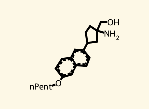 CCCCCOc1ccc2cc(C3CCC(N)(CO)C3)ccc2c1